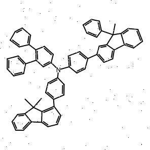 CC1(C)c2ccccc2-c2cccc(-c3ccc(N(c4ccc(-c5ccc6c(c5)C(C)(c5ccccc5)c5ccccc5-6)cc4)c4ccc(-c5ccccc5)c(-c5ccccc5)c4)cc3)c21